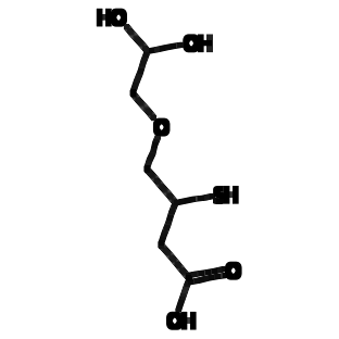 O=C(O)CC(S)COCC(O)O